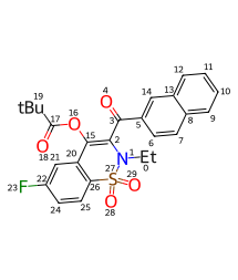 CCN1C(C(=O)c2ccc3ccccc3c2)=C(OC(=O)C(C)(C)C)c2cc(F)ccc2S1(=O)=O